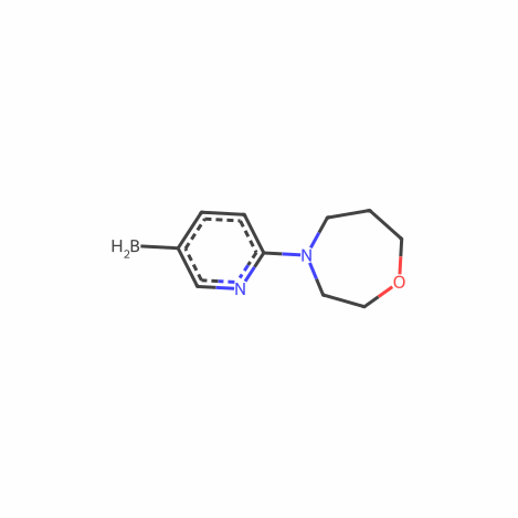 Bc1ccc(N2CCCOCC2)nc1